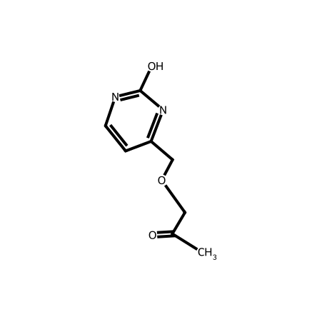 CC(=O)COCc1ccnc(O)n1